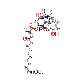 CCCCCCCC/C=C\CCCCCCCC(=O)O[C@@H](C)C(=O)OC1=CC[C@@]2(O)[C@@H](C)N(C)CC[C@@]23c2c(C)ccc(O)c2O[C@@H]13